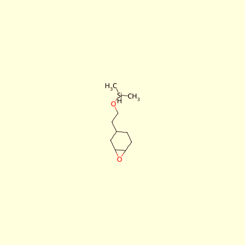 C[SiH](C)OCCC1CCC2OC2C1